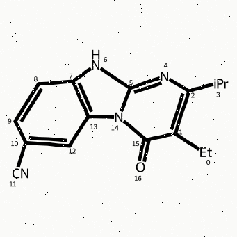 CCc1c(C(C)C)nc2[nH]c3ccc(C#N)cc3n2c1=O